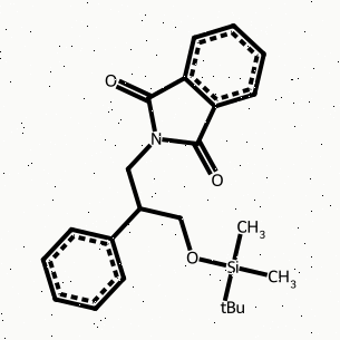 CC(C)(C)[Si](C)(C)OCC(CN1C(=O)c2ccccc2C1=O)c1ccccc1